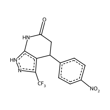 O=C1CC(c2ccc([N+](=O)[O-])cc2)c2c(C(F)(F)F)n[nH]c2N1